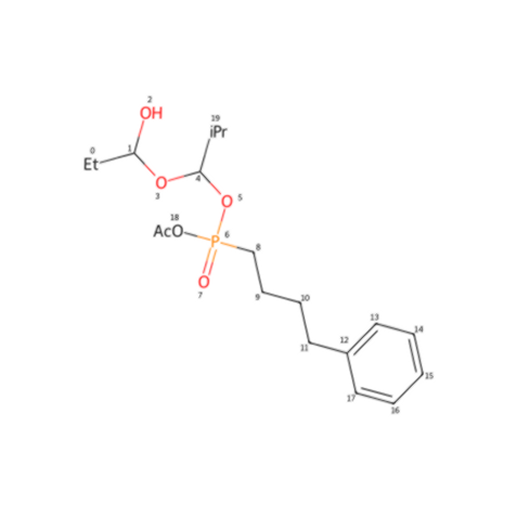 CCC(O)OC(OP(=O)(CCCCc1ccccc1)OC(C)=O)C(C)C